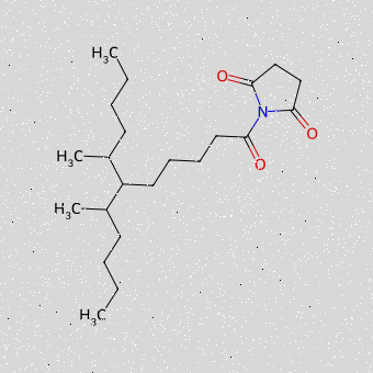 CCCCC(C)C(CCCCC(=O)N1C(=O)CCC1=O)C(C)CCCC